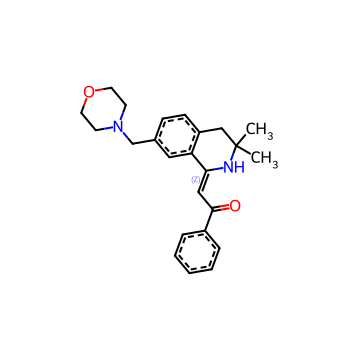 CC1(C)Cc2ccc(CN3CCOCC3)cc2/C(=C/C(=O)c2ccccc2)N1